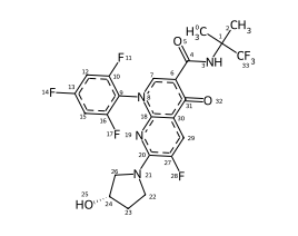 CC(C)(NC(=O)c1cn(-c2c(F)cc(F)cc2F)c2nc(N3CC[C@H](O)C3)c(F)cc2c1=O)C(F)(F)F